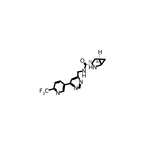 O=C(NCc1cc(-c2ccc(C(F)(F)F)nc2)ncn1)[C@@H]1C[C@H]2CC2N1